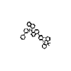 CC1(C)C2=C(C=CCC2)n2c3ccc(-c4cccc5c(N(c6cccc(-c7ccccc7)c6)c6cccc7ccccc67)cccc45)cc3c3cccc1c32